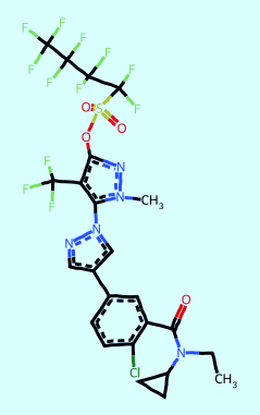 CCN(C(=O)c1cc(-c2cnn(-c3c(C(F)(F)F)c(OS(=O)(=O)C(F)(F)C(F)(F)C(F)(F)C(F)(F)F)nn3C)c2)ccc1Cl)C1CC1